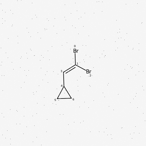 BrC(Br)=CC1CC1